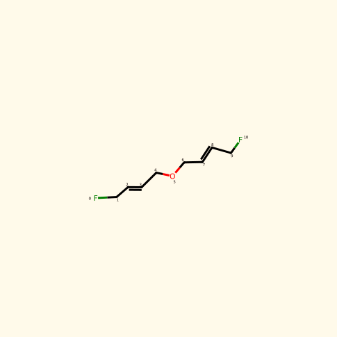 FCC=CCOCC=CCF